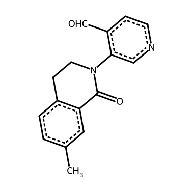 Cc1ccc2c(c1)C(=O)N(c1cnccc1C=O)CC2